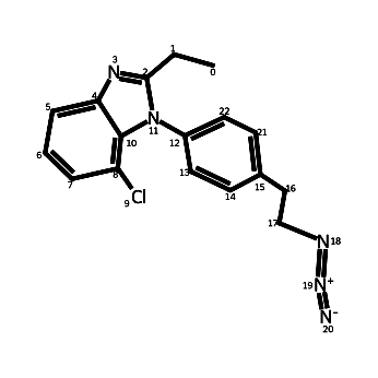 CCc1nc2cccc(Cl)c2n1-c1ccc(CCN=[N+]=[N-])cc1